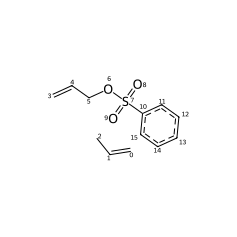 C=CC.C=CCOS(=O)(=O)c1ccccc1